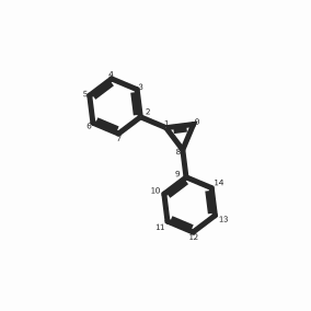 C1=C(c2ccccc2)C1c1ccccc1